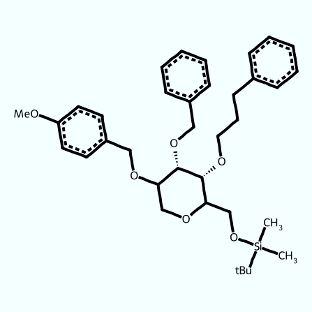 COc1ccc(COC2COC(CO[Si](C)(C)C(C)(C)C)[C@@H](OCCCc3ccccc3)[C@H]2OCc2ccccc2)cc1